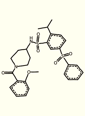 COc1ccccc1C(=O)N1CCC(NS(=O)(=O)c2cc(S(=O)(=O)c3ccccc3)ccc2C(C)C)CC1